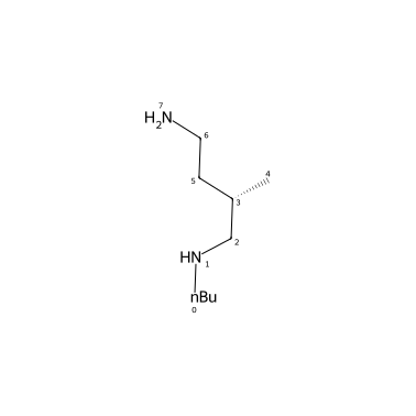 CCCCNC[C@@H](C)CCN